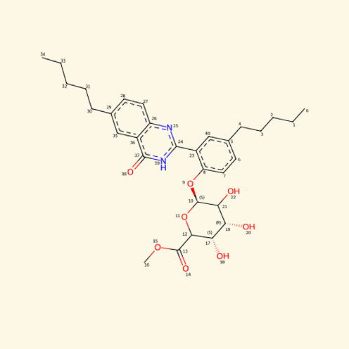 CCCCCc1ccc(O[C@@H]2OC(C(=O)OC)[C@@H](O)[C@@H](O)C2O)c(-c2nc3ccc(CCCCC)cc3c(=O)[nH]2)c1